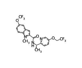 C[C@@H](NC(=O)c1cc2cc(OC(F)(F)F)ccc2n1C)c1ccc(OCC(F)(F)F)cn1